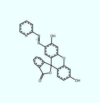 O=C1OC2(c3ccc(O)cc3Oc3cc(O)c(/N=N/c4ccccn4)cc32)c2ccccc21